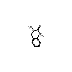 Cl.N[C@@H]1Cc2ccccc2NC1=O